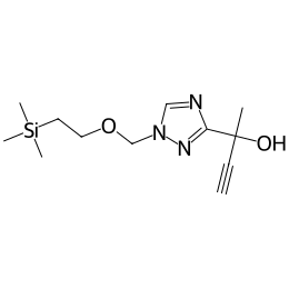 C#CC(C)(O)c1ncn(COCC[Si](C)(C)C)n1